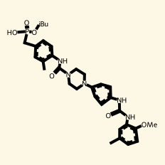 CCC(C)OP(=O)(O)Cc1ccc(NC(=O)N2CCN(c3ccc(NC(=O)Nc4cc(C)ccc4OC)cc3)CC2)c(C)c1